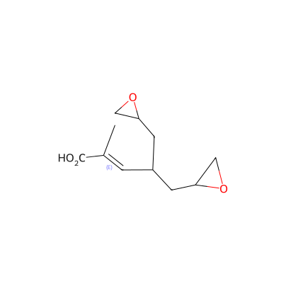 C/C(=C\C(CC1CO1)CC1CO1)C(=O)O